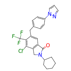 O=C1c2cc(Cc3ccc(-n4cccn4)cc3)c(C(F)(F)F)c(Cl)c2CN1C1CCCCC1